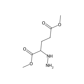 COC(=O)CCC(NN)C(=O)OC